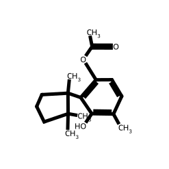 CC(=O)Oc1ccc(C)c(O)c1C1(C)CCCC1(C)C